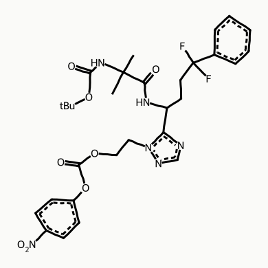 CC(C)(C)OC(=O)NC(C)(C)C(=O)NC(CCC(F)(F)c1ccccc1)c1ncnn1CCOC(=O)Oc1ccc([N+](=O)[O-])cc1